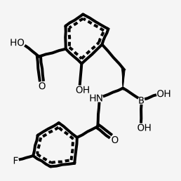 O=C(N[C@@H](Cc1cccc(C(=O)O)c1O)B(O)O)c1ccc(F)cc1